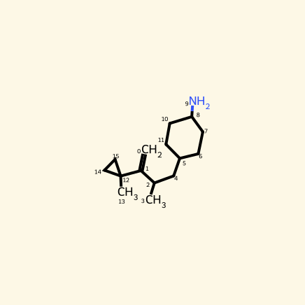 C=C(C(C)CC1CCC(N)CC1)C1(C)CC1